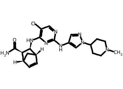 CN1CCC(n2cc(Nc3ncc(Cl)c(N[C@@H]4[C@H](C(N)=O)[C@H]5C=C[C@@H]4C5)n3)cn2)CC1